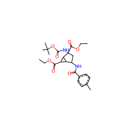 CCOC(=O)C1C2C(NC(=O)c3ccc(C)cc3)CC(NC(=O)OC(C)(C)C)(C(=O)OCC)C12